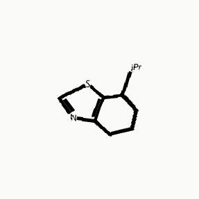 CC(C)C1CCCc2ncsc21